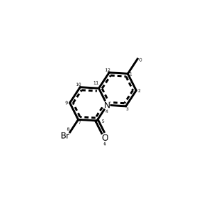 Cc1ccn2c(=O)c(Br)ccc2c1